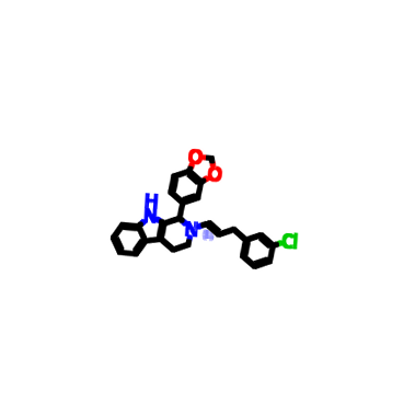 Clc1cccc(C/C=C/N2CCc3c([nH]c4ccccc34)C2c2ccc3c(c2)OCO3)c1